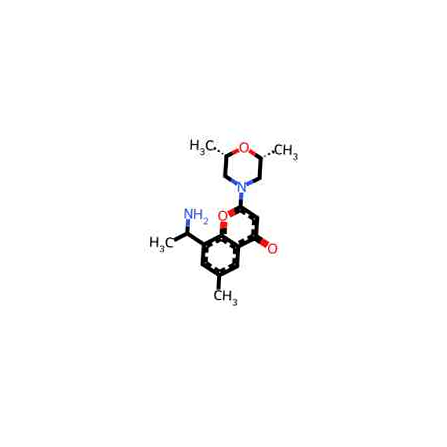 Cc1cc(C(C)N)c2oc(N3C[C@@H](C)O[C@@H](C)C3)cc(=O)c2c1